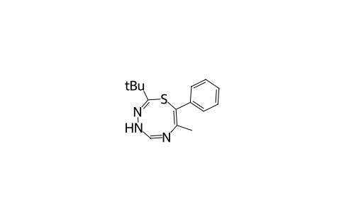 Cc1nc[nH]nc(C(C)(C)C)sc1-c1ccccc1